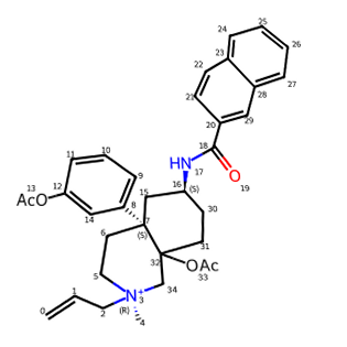 C=CC[N@@+]1(C)CC[C@@]2(c3cccc(OC(C)=O)c3)C[C@@H](NC(=O)c3ccc4ccccc4c3)CCC2(OC(C)=O)C1